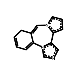 C1=CCC2=Cn3cccc3-c3cncn3C2=C1